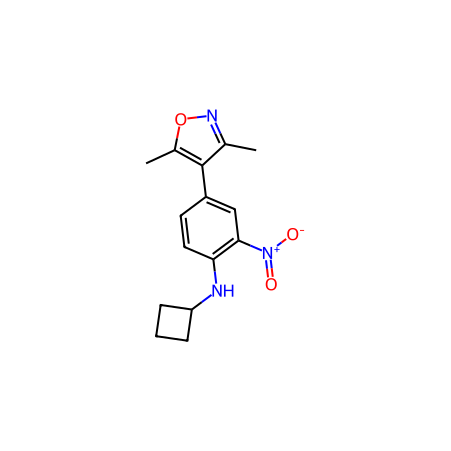 Cc1noc(C)c1-c1ccc(NC2CCC2)c([N+](=O)[O-])c1